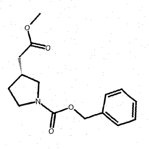 COC(=O)C[C@H]1CCN(C(=O)OCc2ccccc2)C1